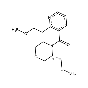 BOC[C@@H]1COCCN1C(=O)c1cccnc1CCOP